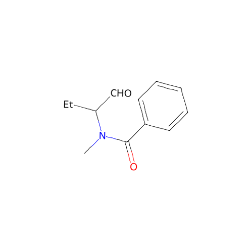 CCC(C=O)N(C)C(=O)c1ccccc1